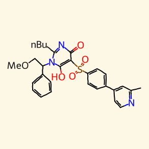 CCCCc1nc(=O)c(S(=O)(=O)c2ccc(-c3ccnc(C)c3)cc2)c(O)n1C(COC)c1ccccc1